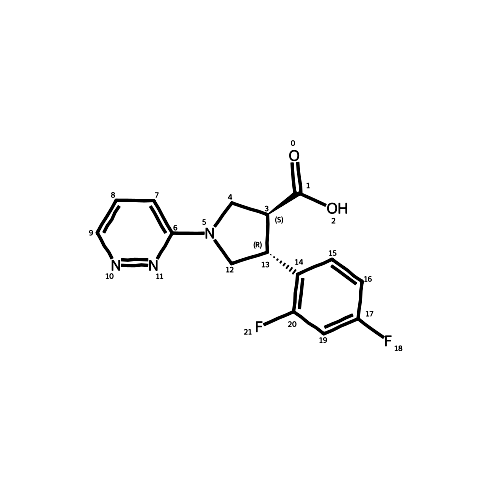 O=C(O)[C@@H]1CN(c2cccnn2)C[C@H]1c1ccc(F)cc1F